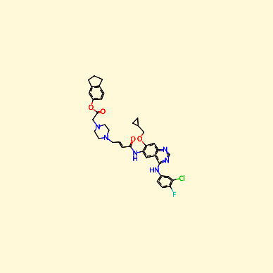 O=C(C=CCN1CCN(CC(=O)Oc2ccc3c(c2)CCC3)CC1)Nc1cc2c(Nc3ccc(F)c(Cl)c3)ncnc2cc1OCC1CC1